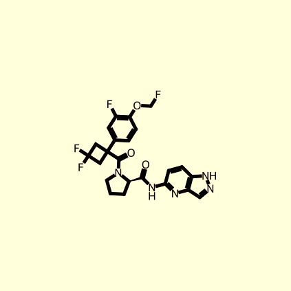 O=C(Nc1ccc2[nH]ncc2n1)[C@H]1CCCN1C(=O)C1(c2ccc(OCF)c(F)c2)CC(F)(F)C1